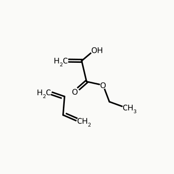 C=C(O)C(=O)OCC.C=CC=C